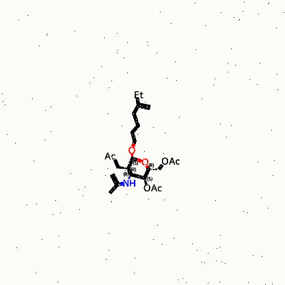 C=C(CC)CCCCO[C@H]1O[C@H](COC(C)=O)[C@@H](OC(C)=O)[C@H](NC(=C)C)[C@H]1CC(C)=O